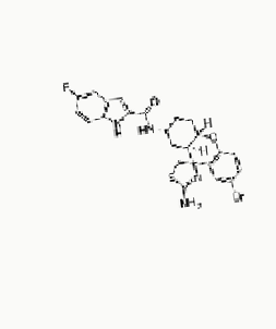 NC1=NC2(CS1)c1cc(Br)ccc1O[C@H]1CC[C@@H](NC(=O)c3cc4cc(F)ccc4[nH]3)C[C@@H]12